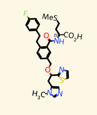 CSCC[C@H](NC(=O)c1cc(COC(Cc2cncn2C)c2nccs2)ccc1CCc1ccc(F)cc1)C(=O)O